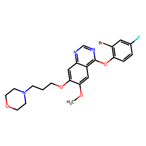 COc1cc2c(Oc3ccc(F)cc3Br)ncnc2cc1OCCCN1CCOCC1